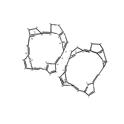 C1=Cc2cc3cc4c([nH]3)c(c3nc(cc5ccc(cc1n2)[nH]5)CC3)CC4.C1=Cc2cc3cc4c([nH]3)c(c3nc(cc5ccc(cc1n2)[nH]5)CC3)CC4